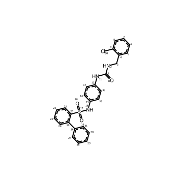 O=C(NCc1ccccc1Cl)Nc1ccc(NS(=O)(=O)c2ccccc2-c2ccccc2)cc1